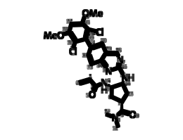 C=CC(=O)N[C@H]1C[C@H](C(=O)N(C)C)C[C@H]1Nc1ncc2cc(-c3c(Cl)c(OC)cc(OC)c3Cl)ccc2n1